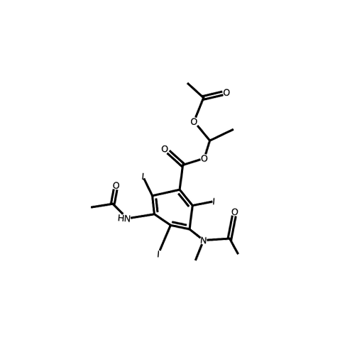 CC(=O)Nc1c(I)c(C(=O)OC(C)OC(C)=O)c(I)c(N(C)C(C)=O)c1I